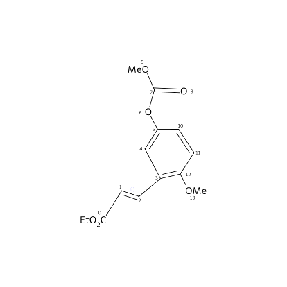 CCOC(=O)/C=C/c1cc(OC(=O)OC)ccc1OC